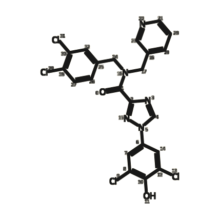 O=C(c1ncn(-c2cc(Cl)c(O)c(Cl)c2)n1)N(Cc1cccnc1)Cc1ccc(Cl)c(Cl)c1